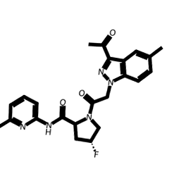 CC(=O)c1nn(CC(=O)N2C[C@H](F)CC2C(=O)Nc2cccc(Cl)n2)c2ccc(C)cc12